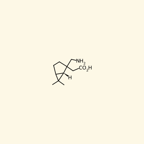 CC1(C)C2CCC(CN)(CC(=O)O)[C@@H]21